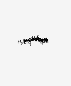 CN(C)CCCC(=O)OCC1CC(c2ccc(-c3ccc(N4C[C@H](Cn5ccnn5)OC4=O)cc3F)cn2)=NO1